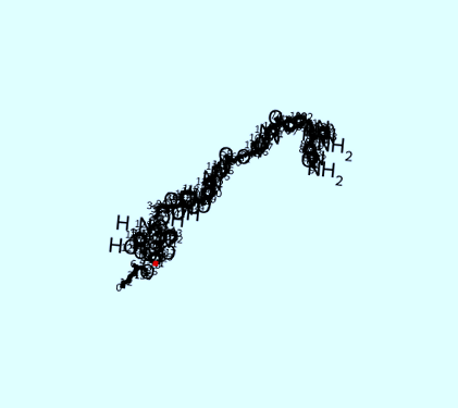 C=C/C=C/C=C(\C)[C@H](C[C@@H]1CC[C@@H](C)[C@](O)(C(=O)C(=O)N2CCCC[C@H]2C(=O)O[C@@H](C[C@@H](O)[C@H](C)/C=C(\C)[C@@H](O)[C@@H](O)/C2=N/OC(C(=O)N3CCc4nc(N5CCN(C(=O)CCOCCN6CCN(c7ncc(C(=O)N8CCc9cc(Cn%10nc(-c%11ccc%12oc(N)nc%12c%11)c%11c(N)ncnc%11%10)ccc9C8)cn7)CC6)CC5)ncc4C3)C[C@H](C)C[C@H]2C)[C@H](N)C[C@@H]2CC[C@@H](O)[C@H](OC)C2)O1)OC